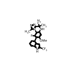 COc1cc2c(c(F)c1-c1cccc3[nH]c(C(F)(F)F)cc13)-n1c(C)nnc1C(C)(C)N2